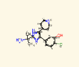 CC(C)(N)c1nc(-c2ccc(Cl)c(O)c2)c(-c2ccncc2)[nH]1